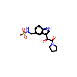 CS(=O)(=O)NCc1ccc2[nH]cc(C(=O)C(=O)N3CCCC3)c2c1